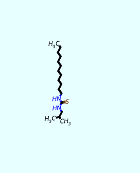 CCCCCCCCCCCCNC(=S)NCC(C)C